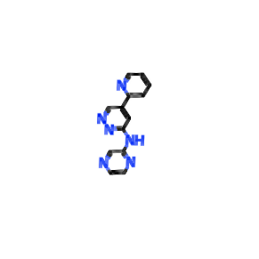 c1ccc(-c2cnnc(Nc3cnccn3)c2)nc1